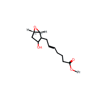 CC(C)OC(=O)CCCC=CCC1C(O)C[C@@H]2O[C@H]12